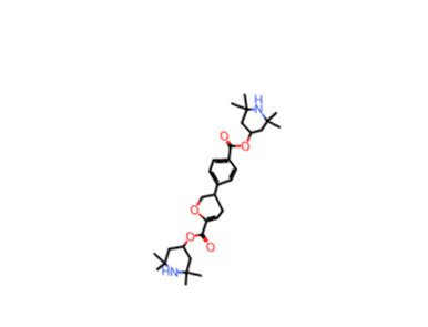 CC1(C)CC(OC(=O)C2=CCC(c3ccc(C(=O)OC4CC(C)(C)NC(C)(C)C4)cc3)CO2)CC(C)(C)N1